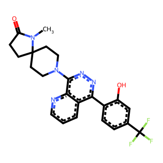 CN1C(=O)CCC12CCN(c1nnc(-c3ccc(C(F)(F)F)cc3O)c3cccnc13)CC2